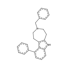 c1ccc(CN2CCc3[nH]c4cccc(-c5ccccc5)c4c3CC2)cc1